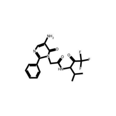 CC(C)C(NC(=O)Cn1c(-c2ccccc2)ncc(N)c1=O)C(=O)C(F)(F)F